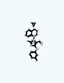 CC1=NC(Oc2cccc(C)c2)=C(C=O)[SH]1N1CC[C@@H](C2CC2)c2ccccc21